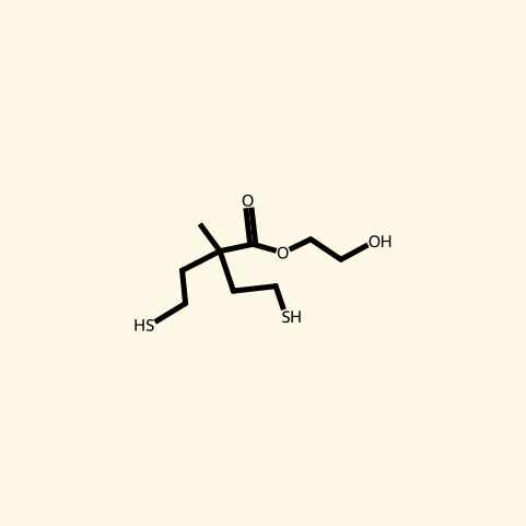 CC(CCS)(CCS)C(=O)OCCO